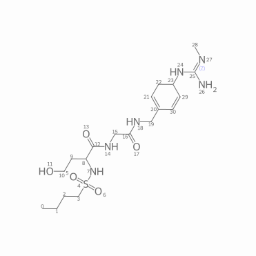 CCCCS(=O)(=O)NC(CCO)C(=O)NCC(=O)NCC1=CCC(N/C(N)=N\C)C=C1